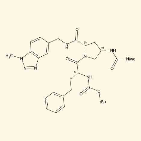 CNC(=O)N[C@H]1C[C@@H](C(=O)NCc2ccc3c(c2)nnn3C)N(C(=O)[C@@H](CCc2ccccc2)NC(=O)OC(C)(C)C)C1